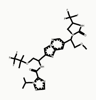 COCC(c1cnn2cc(C(COC(C)(C)C(F)(F)F)NC(=O)c3ncnn3C(C)C)nc2c1)N1CC(C(F)(F)F)NC1=O